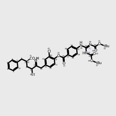 CCC(C[C@@H](Cc1ccccc1)C(=O)O)C(=O)Cc1ccc(OC(=O)c2ccc(N/C(=N/C(=O)OC(C)(C)C)NC(=O)OC(C)(C)C)cc2)c(Cl)c1